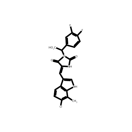 Cc1c(Cl)ccc2c(/C=C3\NC(=O)N(C(C(=O)O)c4ccc(F)c(F)c4)C3=O)c[nH]c12